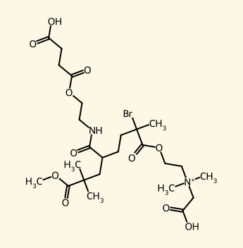 COC(=O)C(C)(C)CC(CCC(C)(Br)C(=O)OCC[N+](C)(C)CC(=O)O)C(=O)NCCOC(=O)CCC(=O)O